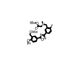 COCc1cc(-c2nc(-c3ccc(F)c(CN(C)CC(=O)OC(C)(C)C)c3)no2)ccc1OC(C)C